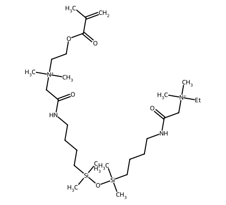 C=C(C)C(=O)OCC[N+](C)(C)CC(=O)NCCCC[Si](C)(C)O[Si](C)(C)CCCCNC(=O)C[N+](C)(C)CC